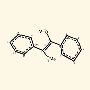 CO/C(=C(/OC)c1ccccc1)c1ccccc1